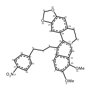 COc1ccc2c(CCCc3ccc([N+](=O)[O-])cc3)c3[n+](cc2c1OC)CCc1cc2c(cc1-3)OCO2